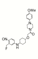 COc1ccc(N2CCN(C(=O)COC3CCC(Nc4ccc(N=O)c(CF)c4)CC3)CC2)cc1